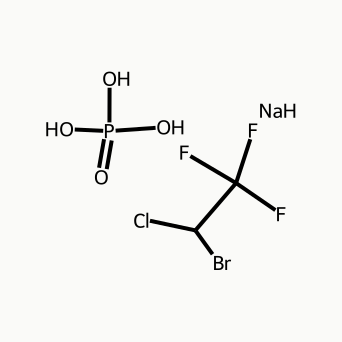 FC(F)(F)C(Cl)Br.O=P(O)(O)O.[NaH]